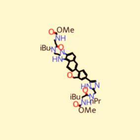 CCCN(Cc1ncc(-c2ccc3c(c2)COc2cc4c(ccc5nc(CN(C(=O)CNC(=O)OC)[C@@H](C)CC)[nH]c54)cc2-3)[nH]1)C(=O)[C@@H](NC(=O)OC)[C@H](C)CC